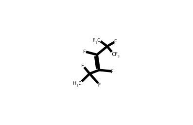 CC(F)(F)/C(F)=C(\F)C(F)(C(F)(F)F)C(F)(F)F